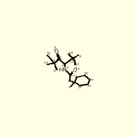 CC1(CC(=O)NC(C(=O)C(C)(C)C)C(C)(C)C)CCCCC1